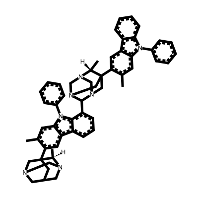 Cc1cc2c(cc1C13CC4CN(CN(C4)[C@@H]1C)C3)c1cccc(C3N4CN5CN3CC(c3cc6c7ccccc7n(-c7ccccc7)c6cc3C)(C4)[C@H]5C)c1n2-c1ccccc1